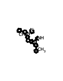 Cc1ccccc1C1=Cc2c(n(-c3cccnc3)c3cc4c(cc23)CCc2cc3c5cc(-c6ccccc6C)ccc5n(-c5cc[nH]c5)c3cc2-4)CC1